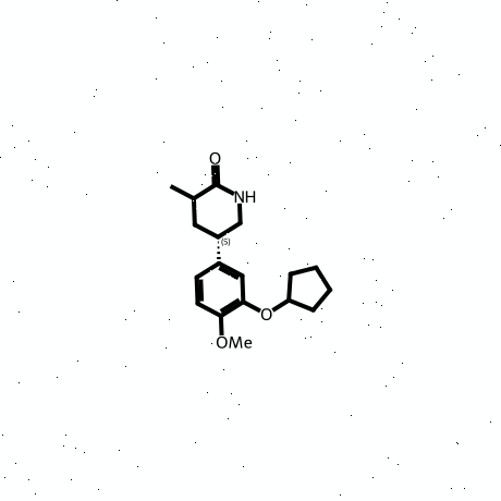 COc1ccc([C@H]2CNC(=O)C(C)C2)cc1OC1CCCC1